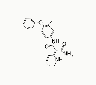 Cc1cc(NC(=O)/C(C(N)=O)=C2\C=CC=CN2)ccc1Oc1ccccc1